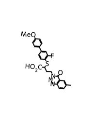 COc1ccc(-c2ccc(SC(CCn3nnc4ccc(C)cc4c3=O)C(=O)O)c(F)c2)cc1